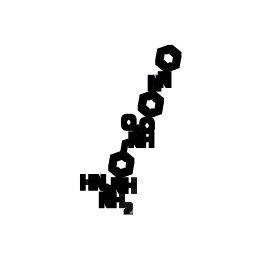 N=C(N)Nc1ccc(CNC(=O)Oc2ccc(/N=N/c3ccccc3)cc2)cc1